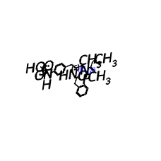 C/C=C(CC)\N=C(/C)[C@H](Cc1ccc(NS(=O)(=O)O)cc1)NC(=O)Cc1ccccc1F